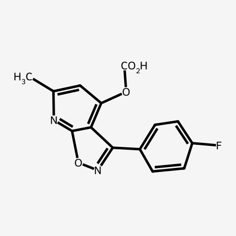 Cc1cc(OC(=O)O)c2c(-c3ccc(F)cc3)noc2n1